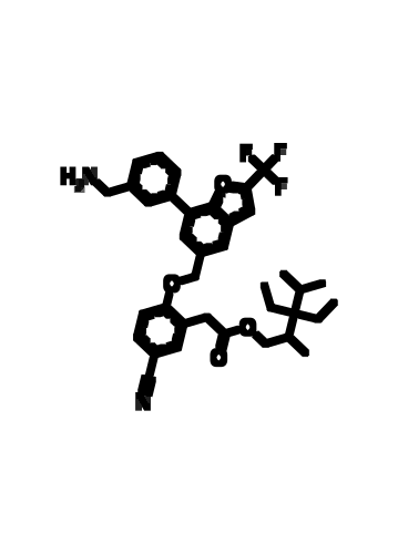 CCC(CC)(C(C)C)C(C)COC(=O)Cc1cc(C#N)ccc1OCc1cc(-c2cccc(CN)c2)c2oc(C(F)(F)F)cc2c1